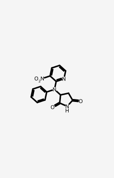 O=C1CC(N(c2ccccc2)c2ncccc2[N+](=O)[O-])C(=O)N1